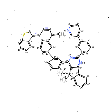 C=C(/C=C\C=C1/CSc2ccccc21)c1cccc(-c2cccc(-c3nc(-c4cccc(-c5cccnc5)c4)nc4c3C(C)(C)c3ccccc3-4)c2)c1